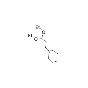 CCOC(CCN1CC[CH]CC1)OCC